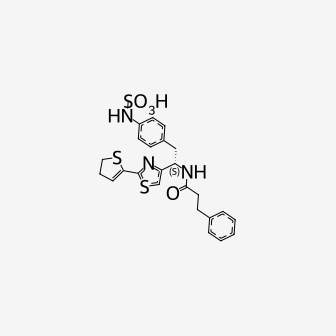 O=C(CCc1ccccc1)N[C@@H](Cc1ccc(NS(=O)(=O)O)cc1)c1csc(C2=CCCS2)n1